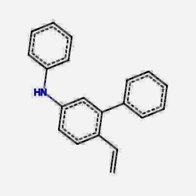 C=Cc1ccc(Nc2ccccc2)cc1-c1ccccc1